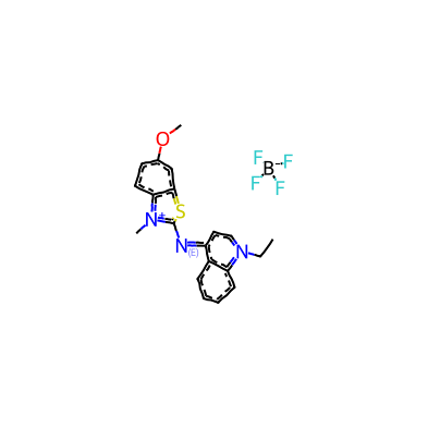 CCn1cc/c(=N\c2sc3cc(OC)ccc3[n+]2C)c2ccccc21.F[B-](F)(F)F